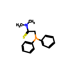 CN(C)C(=S)CP(c1ccccc1)c1ccccc1